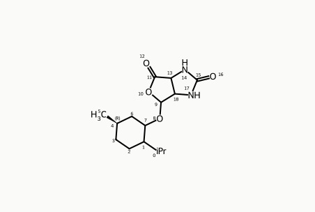 CC(C)C1CC[C@@H](C)CC1OC1OC(=O)C2NC(=O)NC12